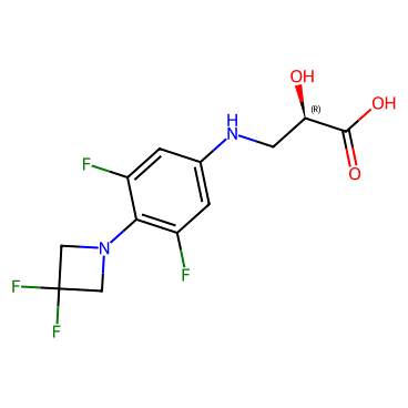 O=C(O)[C@H](O)CNc1cc(F)c(N2CC(F)(F)C2)c(F)c1